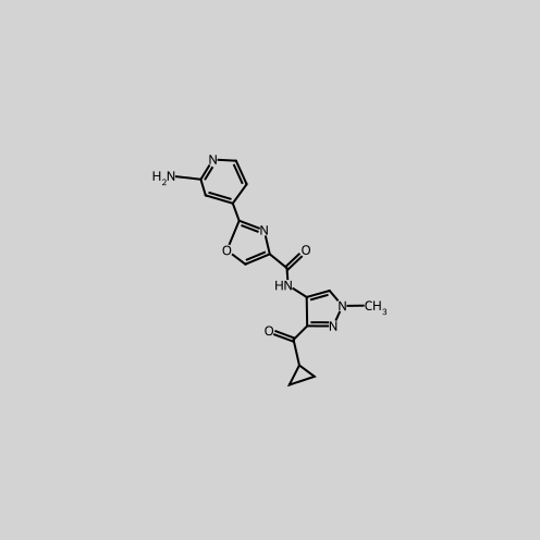 Cn1cc(NC(=O)c2coc(-c3ccnc(N)c3)n2)c(C(=O)C2CC2)n1